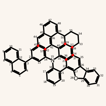 c1cc(-c2cccc3ccccc23)cc(N(c2ccccc2-c2cccc3c2oc2ccccc23)c2ccccc2-c2cccc3cccc(C4CCCCC4)c23)c1